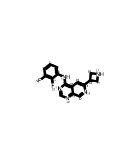 Fc1cccc(Nc2ncnc3cnc(C4CNC4)cc23)c1F